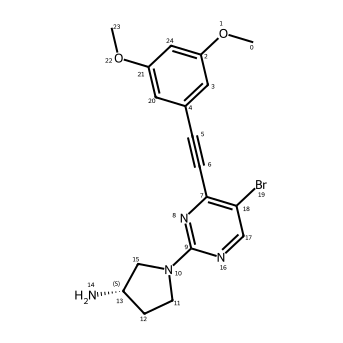 COc1cc(C#Cc2nc(N3CC[C@H](N)C3)ncc2Br)cc(OC)c1